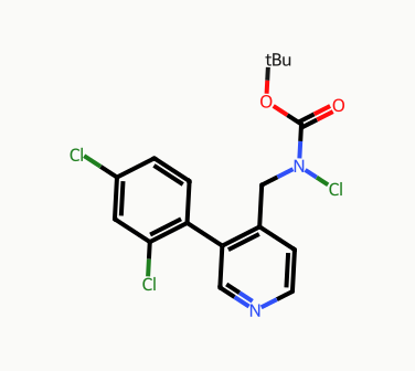 CC(C)(C)OC(=O)N(Cl)Cc1ccncc1-c1ccc(Cl)cc1Cl